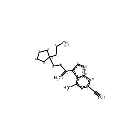 C#Cc1cc(C)c2c(C(=C)CCC3(CCC)CCCC3)c[nH]c2c1